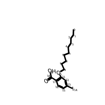 CCCCCCCCCCOc1cc(I)ccc1C(=O)O